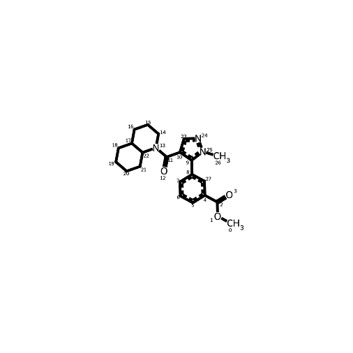 COC(=O)c1cccc(-c2c(C(=O)N3CCCC4CCCCC43)cnn2C)c1